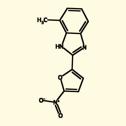 Cc1cccc2nc(-c3ccc([N+](=O)[O-])o3)[nH]c12